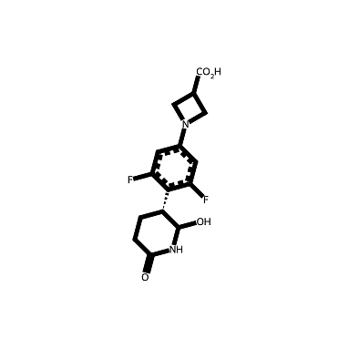 O=C1CC[C@H](c2c(F)cc(N3CC(C(=O)O)C3)cc2F)C(O)N1